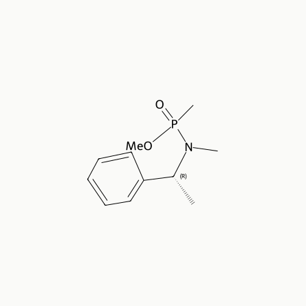 COP(C)(=O)N(C)[C@H](C)c1ccccc1